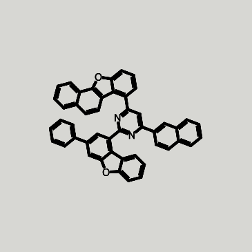 c1ccc(-c2cc(-c3nc(-c4ccc5ccccc5c4)cc(-c4cccc5oc6c7ccccc7ccc6c45)n3)c3c(c2)oc2ccccc23)cc1